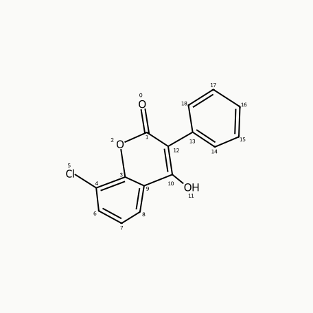 O=c1oc2c(Cl)cccc2c(O)c1-c1ccccc1